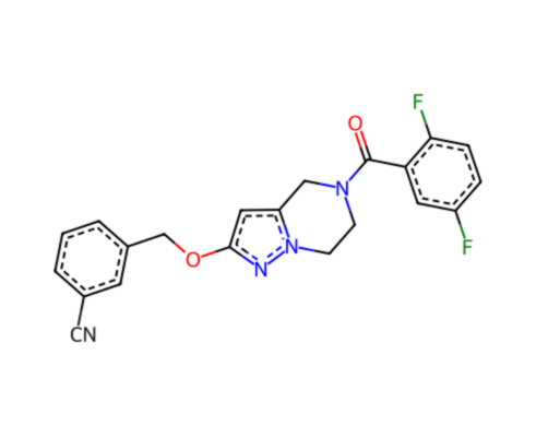 N#Cc1cccc(COc2cc3n(n2)CCN(C(=O)c2cc(F)ccc2F)C3)c1